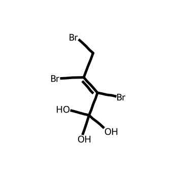 OC(O)(O)/C(Br)=C(\Br)CBr